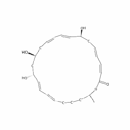 CC1CCC/C=C/C=C/[C@H](O)C[C@@H](O)C/C=C\C=C\[C@@H](O)C/C=C/C=C\C(=O)O1